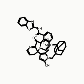 COC12CC3CC(CC(Cn4c(C#N)cc(C5(N6C=Cc7cccc(C(=O)Nc8nc9ccccc9s8)c7C6)CC=CN=C5C(=O)OC(C)(C)C)c4C)(C3)C1)C2